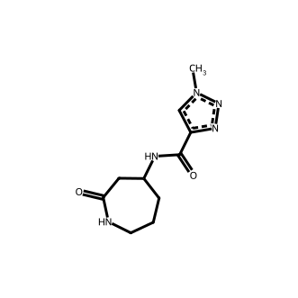 Cn1cc(C(=O)NC2CCCNC(=O)C2)nn1